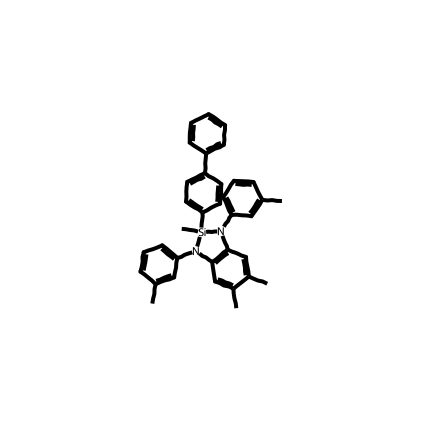 Cc1cccc(N2c3cc(C)c(C)cc3N(c3cccc(C)c3)[Si]2(C)c2ccc(-c3ccccc3)cc2)c1